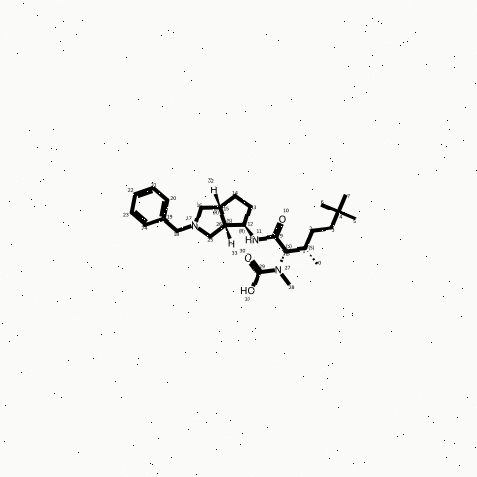 C[C@@H](CCC(C)(C)C)[C@@H](C(=O)N[C@@H]1CC[C@H]2CN(Cc3ccccc3)C[C@H]21)N(C)C(=O)O